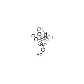 CCc1cccc(-c2c(Cl)cccc2C(O)(CCCNC(=O)O)C2CCCN(C(=O)c3ccc(CO)cc3)C2)c1